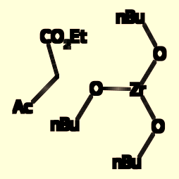 CCCC[O][Zr]([O]CCCC)[O]CCCC.CCOC(=O)CC(C)=O